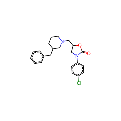 O=C1OC(CN2CCCC(Cc3ccccc3)C2)CN1c1ccc(Cl)cc1